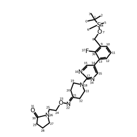 CC(C)(C)[Si](C)(C)OCc1cccc(-c2cnc(N3CCC(=NOCCN4CCCC4=O)CC3)nc2)c1F